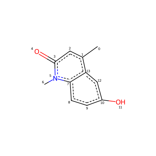 Cc1cc(=O)n(C)c2ccc(O)cc12